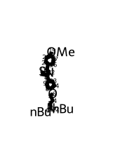 CCCCN(CCCC)CCCOc1ccc(-c2csc(-c3ccc(OC)cc3)n2)cc1